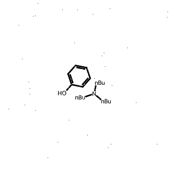 CCCCN(CCCC)CCCC.Oc1ccccc1